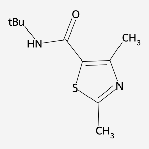 Cc1nc(C)c(C(=O)NC(C)(C)C)s1